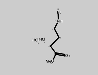 CCNCCCC(=O)OC.Cl.Cl